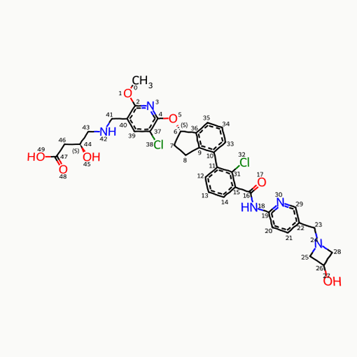 COc1nc(O[C@H]2CCc3c(-c4cccc(C(=O)Nc5ccc(CN6CC(O)C6)cn5)c4Cl)cccc32)c(Cl)cc1CNC[C@@H](O)CC(=O)O